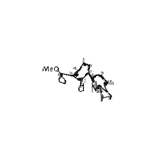 COC(=O)c1cccc(-c2cc[nH]n2)c1Cl